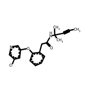 CC#CC(C)(C)NC(=O)Cc1ccccc1Oc1cncc(Cl)c1